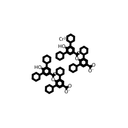 O=C([O-])c1cc(C2CCCCC2)c(OC(=O)c2cc(C3CCCCC3)c(O)c(C3CCCCC3)c2)c(C2CCCCC2)c1.O=C([O-])c1cc(C2CCCCC2)c(OC(=O)c2cc(C3CCCCC3)c(O)c(C3CCCCC3)c2)c(C2CCCCC2)c1.[Cr+2]